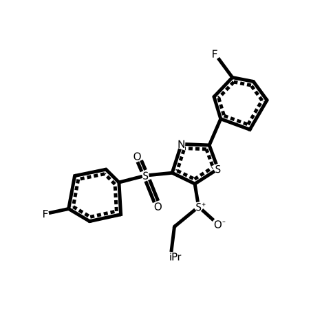 CC(C)C[S+]([O-])c1sc(-c2cccc(F)c2)nc1S(=O)(=O)c1ccc(F)cc1